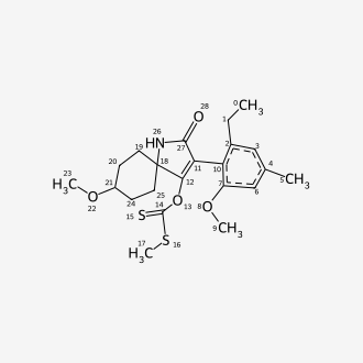 CCc1cc(C)cc(OC)c1C1=C(OC(=S)SC)C2(CCC(OC)CC2)NC1=O